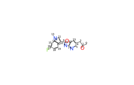 CC(=O)Cc1cnc2nc(-c3cn(C)c4cc(F)ccc34)oc2c1